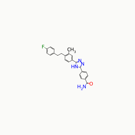 Cc1cc(-c2nnc(-c3ccc(C(N)=O)cc3)[nH]2)ccc1CCc1ccc(F)cc1